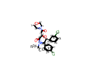 CCC[C@@H](C(=O)O)N1C(=O)[C@H](CC(=O)N2CCOCC2)O[C@@H](c2cccc(Cl)c2)[C@H]1c1ccc(Cl)cc1